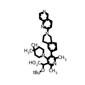 Cc1nc(C)c(C(OC(C)(C)C)C(=O)O)c(N2CCC(C)(C)CC2)c1-c1ccc2c(c1)CCN(c1ccc3cnccc3n1)C2